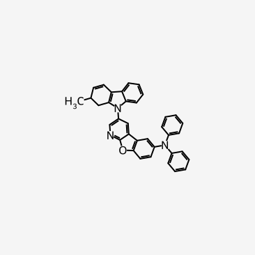 CC1C=Cc2c(n(-c3cnc4oc5ccc(N(c6ccccc6)c6ccccc6)cc5c4c3)c3ccccc23)C1